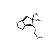 COCOC1=C2CCOC2=CC1(C)OC